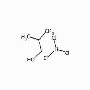 CC(C)CO.[Cl][Ti]([Cl])[Cl]